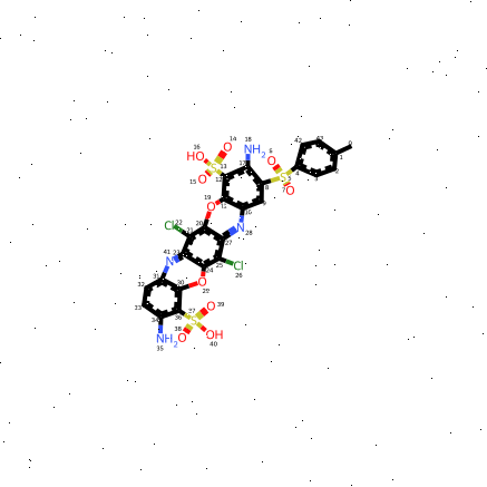 Cc1ccc(S(=O)(=O)c2cc3c(c(S(=O)(=O)O)c2N)Oc2c(Cl)c4c(c(Cl)c2=N3)Oc2c(ccc(N)c2S(=O)(=O)O)N=4)cc1